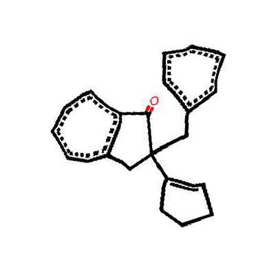 O=C1c2ccccc2CC1(Cc1ccccc1)C1=CCCC1